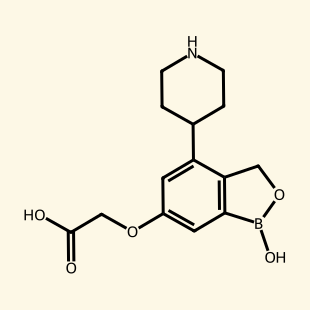 O=C(O)COc1cc2c(c(C3CCNCC3)c1)COB2O